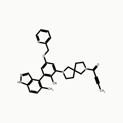 CC#CC(=O)N1CCC2(CCN(c3cc(OCc4ccccn4)cc(-c4c(C)ccc5[nH]ncc45)c3C#N)C2)C1